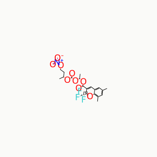 Cc1cc(C)c2c(c1)C=C(C(=O)OC(C)OC(=O)OC(C)CCO[N+](=O)[O-])[C@@H](C(F)(F)F)O2